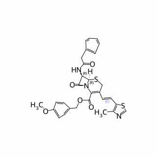 COc1ccc(COC(=O)C2=C(/C=C/c3scnc3C)CS[C@@H]3[C@H](NC(=O)Cc4ccccc4)C(=O)N23)cc1